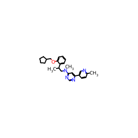 Cc1ccc(-c2cc(N(C)CC(C)c3ccccc3OCC3CCCC3)ncn2)cn1